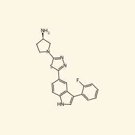 N[C@@H]1CCN(c2nnc(-c3ccc4[nH]cc(-c5ccccc5F)c4c3)s2)C1